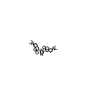 CCN(CC)c1ccc2cc(-c3cncc(-c4cc5ccc(N(CC)CC)cc5oc4=O)n3)c(=O)oc2c1